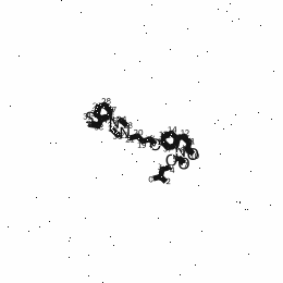 CC(C)CCOC(=O)n1c(=O)ccc2ccc(OCCCCN3CCN(c4cccc5sccc45)CC3)cc21